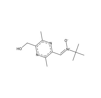 Cc1nc(CO)c(C)nc1/C=[N+](\[O-])C(C)(C)C